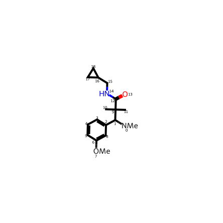 CNC(c1cccc(OC)c1)C(C)(C)C(=O)NCC1CC1